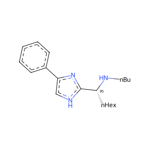 CCCCCC[C@@H](NCCCC)c1nc(-c2ccccc2)c[nH]1